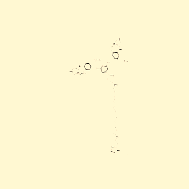 C=C1C[C@H]2C=Nc3cc(OCc4cc(COc5cc6c(cc5OC)C(=O)N5CC(=C)C[C@H]5C=N6)cc(N5CCN(C(=O)CCOCCOCCOCCOCCNC(=O)CCN6C(=C)C=CC6=O)CC5)c4)c(OC)cc3C(=O)N2C1